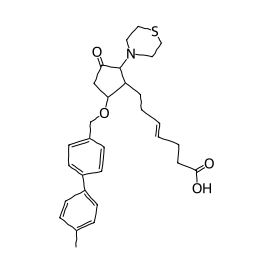 Cc1ccc(-c2ccc(COC3CC(=O)C(N4CCSCC4)C3CC/C=C/CCC(=O)O)cc2)cc1